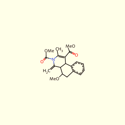 C=C1C2C(OC)Cc3ccccc3C2C(C(=O)OC)=C(C)N1C(=O)OC